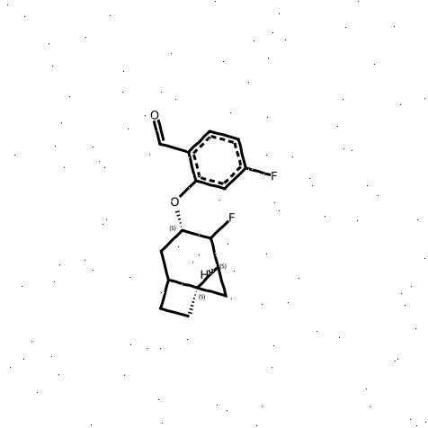 O=Cc1ccc(F)cc1O[C@H]1CC2CC[C@]23C[C@@H]3C1F